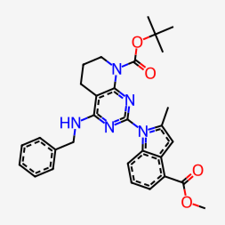 COC(=O)c1cccc2c1cc(C)n2-c1nc(NCc2ccccc2)c2c(n1)N(C(=O)OC(C)(C)C)CCC2